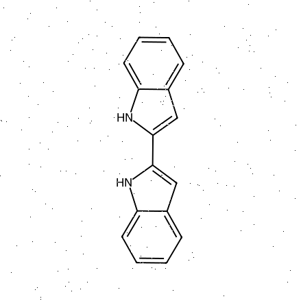 c1ccc2[nH]c(-c3cc4ccccc4[nH]3)cc2c1